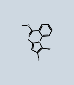 COC(=O)c1ccccc1-n1c(C)cc(Br)c1Br